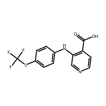 O=C(O)c1ccncc1Nc1ccc(SC(F)(F)F)cc1